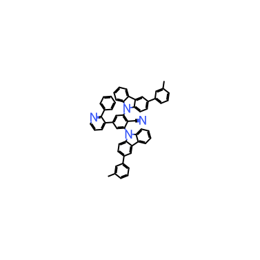 Cc1cccc(-c2ccc3c(c2)c2ccccc2n3-c2cc(-c3cccnc3-c3ccccc3)cc(-n3c4ccccc4c4cc(-c5cccc(C)c5)ccc43)c2C#N)c1